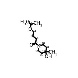 CC(C)OCCCC(=O)N1CCC(C)(O)CC1